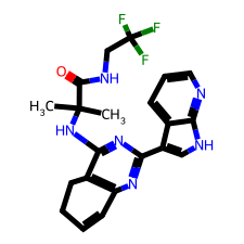 CC(C)(Nc1nc(-c2c[nH]c3ncccc23)nc2c1CCC=C2)C(=O)NCC(F)(F)F